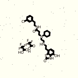 O=C(CCN(CCNCCc1ccc(O)c2[nH]c(=O)sc12)C1CCCCC1)NCCc1cccc(Cl)c1.O=C(O)C(F)(F)F.O=C(O)C(F)(F)F